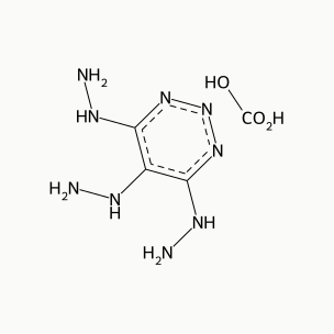 NNc1nnnc(NN)c1NN.O=C(O)O